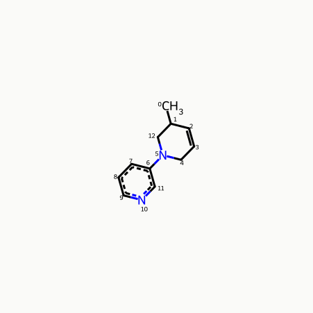 CC1C=CCN(c2cccnc2)C1